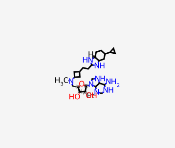 CCN1CNC(N)C2NCN([C@@H]3O[C@H](CN(C)C4CC(CCC5NC6CC(C7CC7)CC[C@H]6N5)C4)[C@@H](O)[C@H]3O)C21